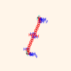 C/C(=C\C1(F)C=CC=C(F)C1Oc1ccc(S(=O)(=O)NCCOCCOCCOCCOCCOCCOCCNC(=O)C(O)C(O)C(=O)NCCOCCOCCOCCOCCOCCOCCNS(=O)(=O)c2ccc(OC3C(F)=CC=CC3(F)/C=C(\C)C(=O)N=C(N)N)cc2)cc1)C(=O)N=C(N)N